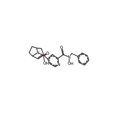 O=C(c1cc(C2=CC3CCC(C2)N3C(=O)O)ccn1)N(O)Cc1ccccc1